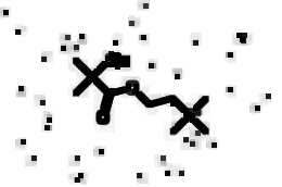 CC(C)(C)C(C)(C)C(=O)OCC[N+](C)(C)C